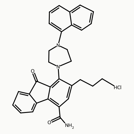 CCCCc1cc(C(N)=O)c2c(c1N1CCN(c3cccc4ccccc34)CC1)C(=O)c1ccccc1-2.Cl